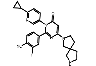 N#Cc1ccc(-c2nc(N3CCC4(CCNC4)C3)cc(=O)n2-c2ccc(C3CC3)nc2)cc1F